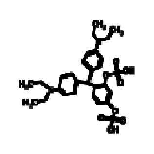 CCN(CC)c1ccc(C(c2ccc(N(CC)CC)cc2)c2ccc(OS(=O)(=O)O)cc2OS(=O)(=O)O)cc1